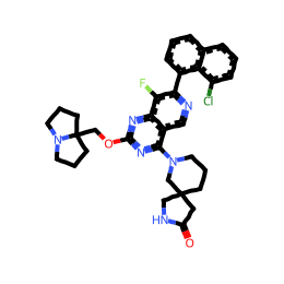 O=C1CC2(CCCN(c3nc(OCC45CCCN4CCC5)nc4c(F)c(-c5cccc6cccc(Cl)c56)ncc34)C2)CN1